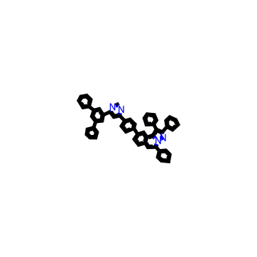 c1ccc(-c2cc(-c3ccccc3)cc(-c3cc(-c4ccc(-c5ccc6cc(-c7ccccc7)n7nc(-c8ccccc8)c(-c8ccccc8)c7c6c5)cc4)ncn3)c2)cc1